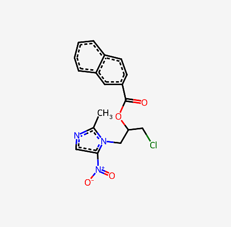 Cc1ncc([N+](=O)[O-])n1CC(CCl)OC(=O)c1ccc2ccccc2c1